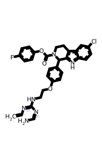 C=C/N=C(\N=C/N)NCCOc1ccc(C2c3[nH]c4ccc(Cl)cc4c3CCN2C(=O)Oc2ccc(F)cc2)cc1